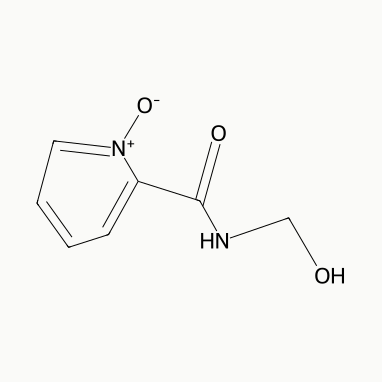 O=C(NCO)c1cccc[n+]1[O-]